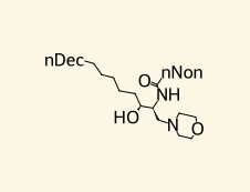 CCCCCCCCCCCCCCC[C@H](O)[C@H](CN1CCOCC1)NC(=O)CCCCCCCCC